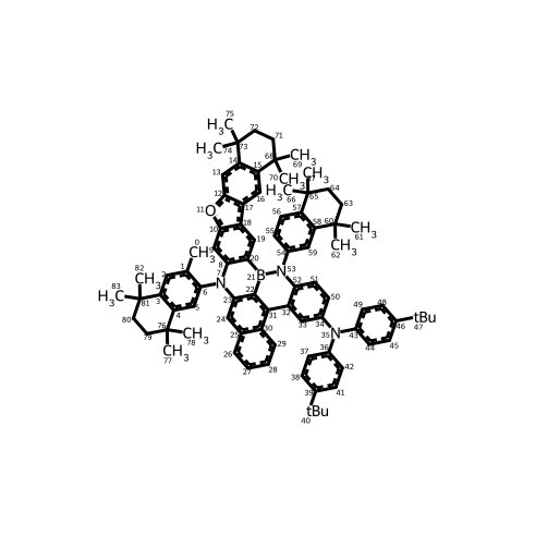 Cc1cc2c(cc1N1c3cc4oc5cc6c(cc5c4cc3B3c4c1cc1ccccc1c4-c1cc(N(c4ccc(C(C)(C)C)cc4)c4ccc(C(C)(C)C)cc4)ccc1N3c1ccc3c(c1)C(C)(C)CCC3(C)C)C(C)(C)CCC6(C)C)C(C)(C)CCC2(C)C